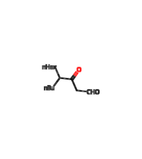 CCCCCCC(CCCC)C(=O)CC=O